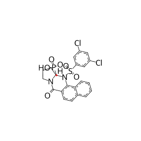 O=C(c1ccc2ccccc2c1N(CP(=O)(O)O)S(=O)(=O)c1cc(Cl)cc(Cl)c1)N1CCCC1